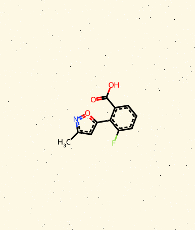 Cc1cc(-c2c(F)cccc2C(=O)O)on1